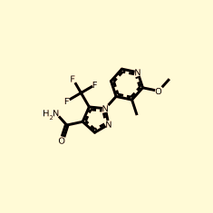 COc1nccc(-n2ncc(C(N)=O)c2C(F)(F)F)c1C